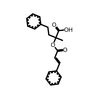 CC(CCc1ccccc1)(OC(=O)C=Cc1ccccc1)C(=O)O